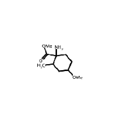 COC(=O)C1(N)CCC(OC)CC1C